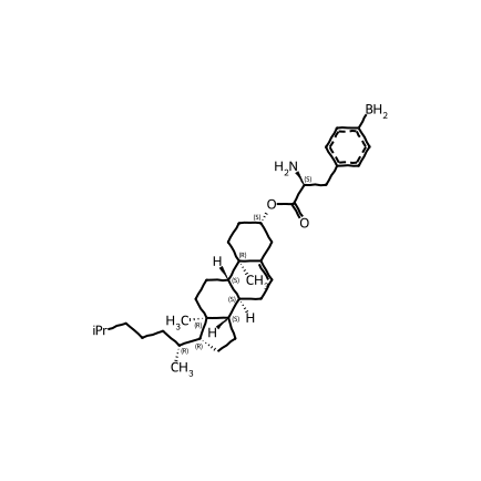 Bc1ccc(C[C@H](N)C(=O)O[C@H]2CC[C@@]3(C)C(=CC[C@H]4[C@@H]5CC[C@H]([C@H](C)CCCC(C)C)[C@@]5(C)CC[C@@H]43)C2)cc1